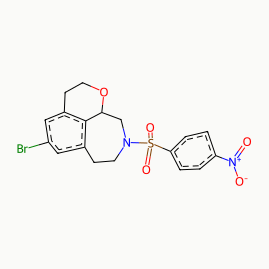 O=[N+]([O-])c1ccc(S(=O)(=O)N2CCc3cc(Br)cc4c3C(C2)OCC4)cc1